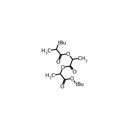 CC(OC(=O)C(C)OC(=O)C(C)C(C)(C)C)C(=O)OC(C)(C)C